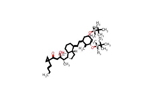 C=C1/C(=C\C=C2/CCC[C@]3(C)[C@@H]([C@H](C)C(O)CC(=O)C4(C=CCC)CC4)CC[C@@H]23)C[C@@H](O[Si](C)(C)C(C)(C)C)C[C@@H]1O[Si](C)(C)C(C)(C)C